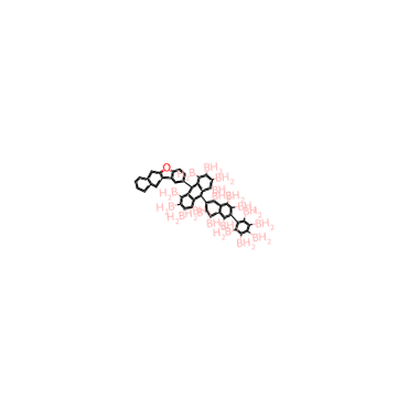 Bc1c(B)c(B)c(-c2c(B)c(B)c3c(B)c(-c4c5c(B)c(B)c(B)c(B)c5c(-c5ccc6oc7cc8ccccc8cc7c6c5)c5c(B)c(B)c(B)c(B)c45)c(B)c(B)c3c2B)c(B)c1B